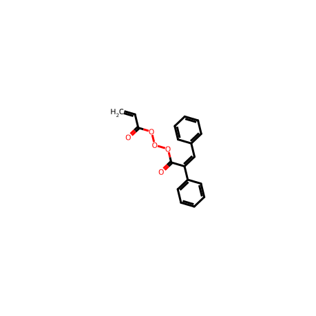 C=CC(=O)OOOC(=O)C(=Cc1ccccc1)c1ccccc1